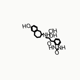 Cl.O=C(c1cccc2[nH]c(=O)[nH]c12)C(O)CNC1CCCc2cc(O)ccc2C1